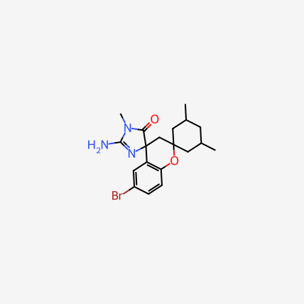 CC1CC(C)CC2(C1)CC1(N=C(N)N(C)C1=O)c1cc(Br)ccc1O2